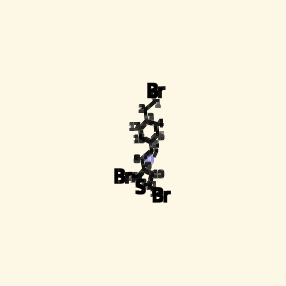 BrCCc1ccc(/C=C/c2cc(Br)sc2Br)cc1